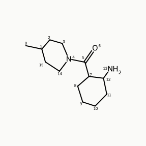 CC1CCN(C(=O)C2CCCCC2N)CC1